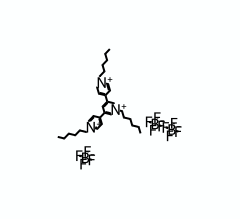 CCCCCC[n+]1ccc(-c2cc(-c3cc[n+](CCCCCC)cc3)c[n+](CCCCCC)c2)cc1.F[B-](F)(F)F.F[B-](F)(F)F.F[B-](F)(F)F